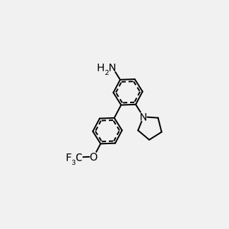 Nc1ccc(N2CCCC2)c(-c2ccc(OC(F)(F)F)cc2)c1